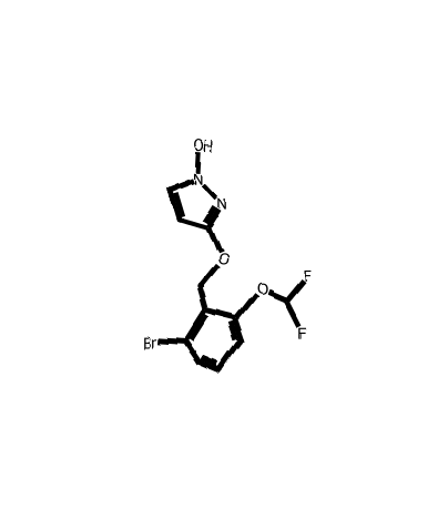 On1ccc(OCc2c(Br)cccc2OC(F)F)n1